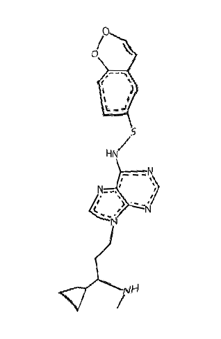 CNC(CCn1cnc2c(NSc3ccc4c(c3)C=COO4)ncnc21)C1CC1